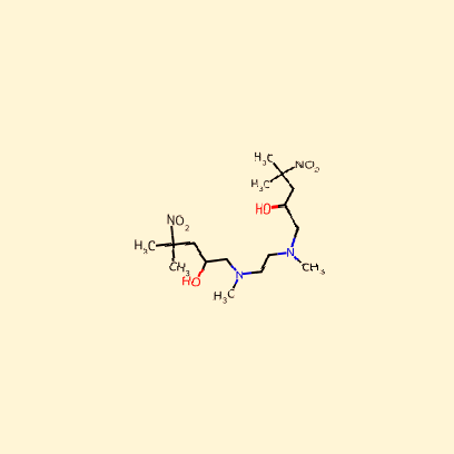 CN(CCN(C)CC(O)CC(C)(C)[N+](=O)[O-])CC(O)CC(C)(C)[N+](=O)[O-]